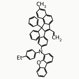 C=CC1=C(c2ccc(N(c3ccc(CC)cc3)c3cccc4c3oc3ccccc34)cc2)C(c2ccccc2)(c2ccccc2)c2c1ccc1cc(C)ccc21